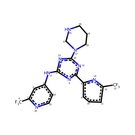 FC(F)(F)c1cc(Nc2nc(-c3cccc(C(F)(F)F)n3)nc(N3CCCNC3)n2)ccn1